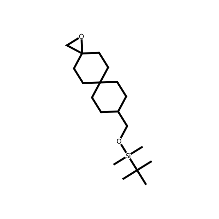 CC(C)(C)[Si](C)(C)OCC1CCC2(CC1)CCC1(CC2)CO1